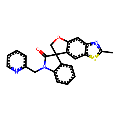 Cc1nc2cc3c(cc2s1)C1(CO3)C(=O)N(Cc2ccccn2)c2ccccc21